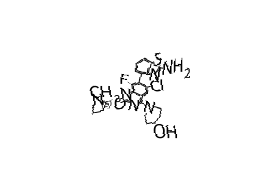 CN1CCC[C@H]1COc1nc(N2CCCC(O)CC2)c2cc(Cl)c(-c3cccc4sc(N)nc34)c(F)c2n1